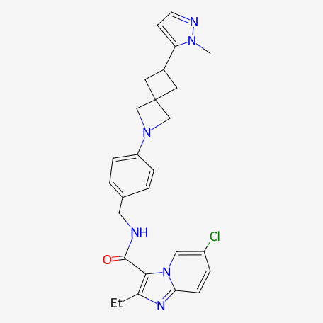 CCc1nc2ccc(Cl)cn2c1C(=O)NCc1ccc(N2CC3(CC(c4ccnn4C)C3)C2)cc1